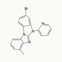 Cc1cccc2c1nc1n(-c3ccccn3)c3cc(Br)ccc3n21